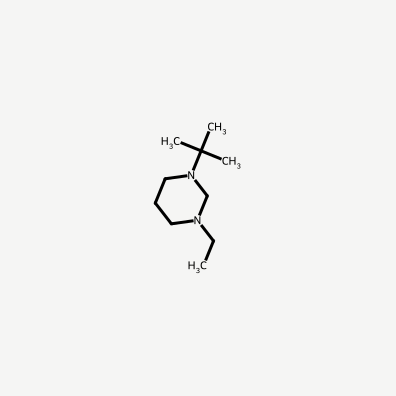 CCN1CCCN(C(C)(C)C)C1